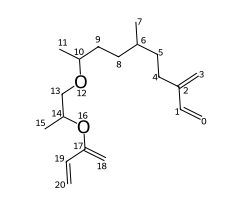 C=CC(=C)CCC(C)CCC(C)OCC(C)OC(=C)C=C